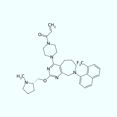 C=CC(=O)N1CCN(c2nc(OC[C@@H]3CCCN3C)nc3c2CCCN(c2cccc4cccc(C(F)(F)F)c24)C3)CC1